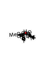 COC(=O)c1cc(O[C@@H]2[C@@H]3CN(C(=O)c4cc(-c5cscn5)nn4C)C[C@@H]32)nc(-c2ccc(F)cc2)c1